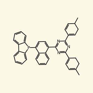 CC1=CC=C(c2nc(C3=CCC(C)C=C3)nc(-c3ccc(-p4c5ccccc5c5ccccc54)c4ccccc34)n2)CC1